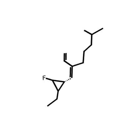 C=C/C(=C\[C@H]1C(F)C1CC)CCCC(C)C